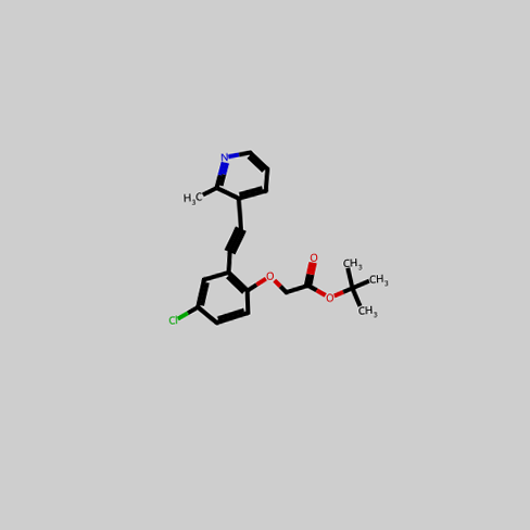 Cc1ncccc1C#Cc1cc(Cl)ccc1OCC(=O)OC(C)(C)C